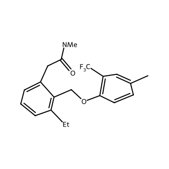 CCc1cccc(CC(=O)NC)c1COc1ccc(C)cc1C(F)(F)F